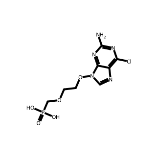 Nc1nc(Cl)c2ncn(OCCOCP(=O)(O)O)c2n1